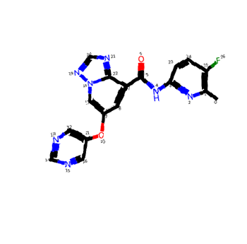 Cc1nc(NC(=O)c2cc(Oc3cncnc3)cn3ncnc23)ccc1F